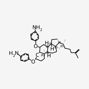 C=C(C)CCC[C@@H](C)[C@H]1CC[C@H]2[C@@H]3CC(Oc4ccc(N)cc4)C4CC(Oc5ccc(N)cc5)CC[C@]4(C)[C@H]3CC[C@]12C